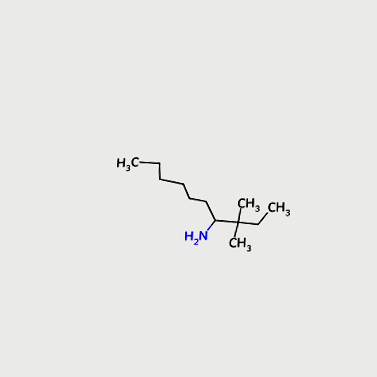 CCCCCCC(N)C(C)(C)CC